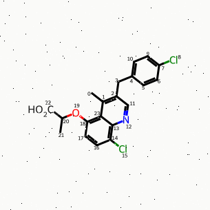 Cc1c(Cc2ccc(Cl)cc2)cnc2c(Cl)ccc(OC(C)C(=O)O)c12